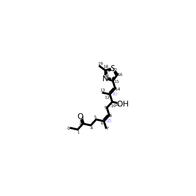 CCC(=O)CC/C(C)=C\CC(O)/C(C)=C/c1csc(C)n1